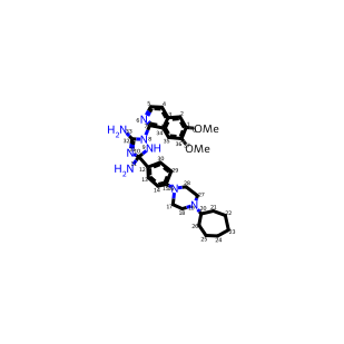 COc1cc2ccnc(N3NC(N)(c4ccc(N5CCN(C6CCCCCC6)CC5)cc4)N=C3N)c2cc1OC